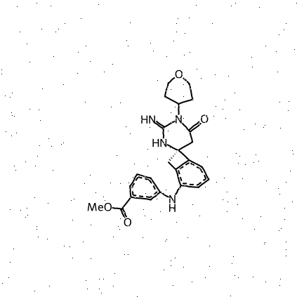 COC(=O)c1cccc(Nc2cccc3c2C[C@]32CC(=O)N(C3CCOCC3)C(=N)N2)c1